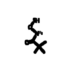 CC(C)(C)C(=O)[N+]OS